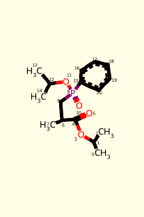 CC(C)OC(=O)C(C)CP(=O)(OC(C)C)c1ccccc1